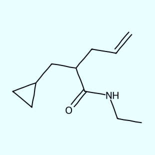 C=CCC(CC1CC1)C(=O)NCC